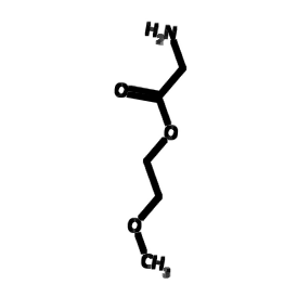 COCCOC(=O)CN